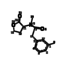 Cc1cccc(CC(=O)N(C)C2CCOC2=O)c1